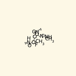 CN[C@@H]1CCN(Cc2cn(CC3CC3)c(=O)c3ccc(-c4cc(C(=O)NC5CC5)cc(F)c4C)cc23)C1